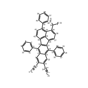 [C-]#[N+]c1cc2c(-c3ccccc3)c3c(c(-c4ccccc4)c2cc1[N+]#[C-])-c1ccc(C(F)F)c2c(-c4ccccc4)ccc-3c12